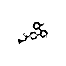 O=C(CC1CC1)N1CCN(c2cnccc2-c2ccccc2F)CC1